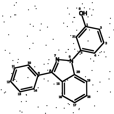 Oc1cccc(-n2nc(-c3ccccc3)c3ccccc32)c1